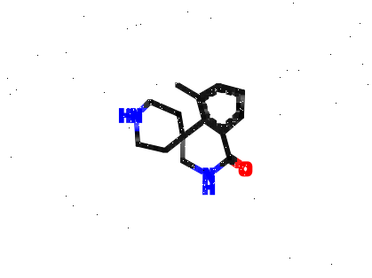 Cc1cccc2c1C1(CCNCC1)CNC2=O